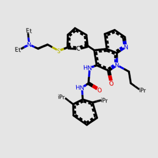 CCN(CC)CCSc1cccc(-c2c(NC(=O)Nc3c(C(C)C)cccc3C(C)C)c(=O)n(CCC(C)C)c3ncccc23)c1